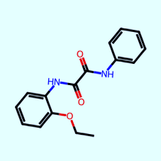 CCOc1ccccc1NC(=O)C(=O)Nc1ccccc1